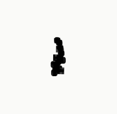 O=C1CCC(N2Cc3cc(C(=O)NCC4CCN(c5ccc(-c6ccc7ccccc7c6)cn5)CC4)ccc3C2=O)C(=O)N1